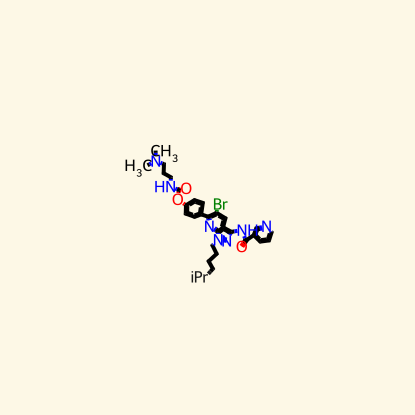 CC(C)CCCCn1nc(NC(=O)c2cccnc2)c2cc(Br)c(-c3ccc(OC(=O)NCCCN(C)C)cc3)nc21